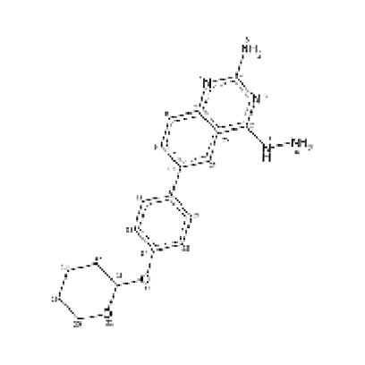 NNc1nc(N)nc2ccc(-c3ccc(OC4CCCCO4)cc3)cc12